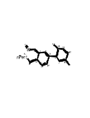 C=N/C=c1/cc(-c2cc(C)ccc2C)cc/c1=C/CCCCC